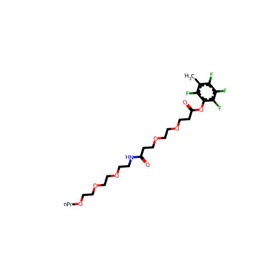 CCCOCCOCCOCCNC(=O)CCOCCOCCC(=O)Oc1c(F)c(C)c(F)c(F)c1F